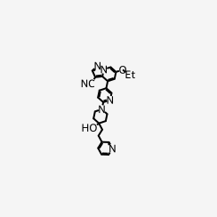 CCOc1cc(-c2ccc(N3CCC(O)(CCc4cccnc4)CC3)nc2)c2c(C#N)cnn2c1